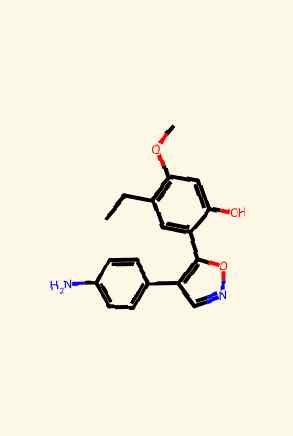 CCc1cc(-c2oncc2-c2ccc(N)cc2)c(O)cc1OC